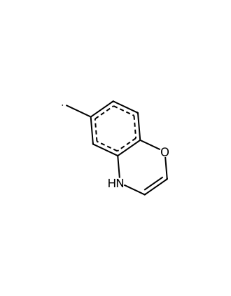 [CH2]c1ccc2c(c1)NC=CO2